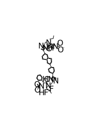 CCCN(Cc1ncc(-c2ccc3cc(-c4ccc(-c5cnc(CN(CC(C)(F)F)C(=O)[C@H](NC(=O)OC)c6ccccc6)[nH]5)cc4)ccc3c2)[nH]1)C(=O)CNC(=O)OC